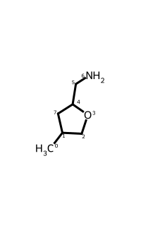 CC1COC(CN)C1